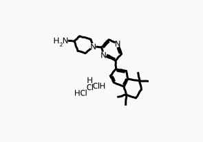 CC1(C)CCC(C)(C)c2cc(-c3cncc(N4CCC(N)CC4)n3)ccc21.Cl.Cl.Cl